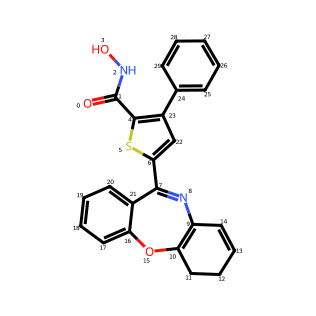 O=C(NO)c1sc(C2=NC3=C(CCC=C3)Oc3ccccc32)cc1-c1ccccc1